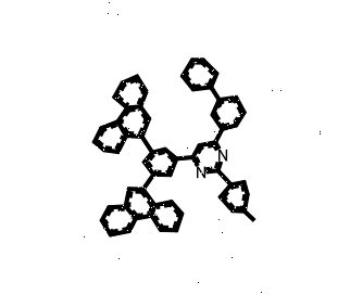 Cc1ccc(-c2nc(-c3cccc(-c4ccccc4)c3)cc(-c3cc(-c4cc5ccccc5c5ccccc45)cc(-c4cc5ccccc5c5ccccc45)c3)n2)cc1